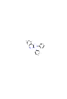 Cc1ccc(-n2c(-c3ccccc3)nc3c4ccc(C(F)(F)F)cc4cnc32)cc1